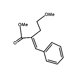 COCC/C(=C\c1ccccc1)C(=O)OC